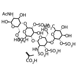 C=C(C)C(=O)O.CC(=O)N[C@@H]1[C@@H](O)[C@H](O[C@@H]2O[C@H](C(=O)O)[C@@H](O[C@@H]3O[C@H](CO)[C@@H](O[C@H]4O[C@@H](C(=O)O)[C@H](O)[C@@H](O)[C@@H]4OS(=O)(=O)O)[C@H](OS(=O)(=O)O)[C@H]3NS(=O)(=O)O)[C@H](O)[C@H]2OS(=O)(=O)O)[C@H](COS(=O)(=O)O)O[C@H]1O